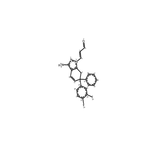 Nc1nn(C=CC=O)c2c1C=CC(c1ccccc1)(c1ccc(F)c(F)c1)C2